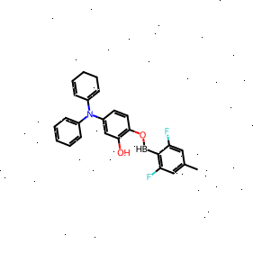 Cc1cc(F)c(BOc2ccc(N(C3=CCCC=C3)c3ccccc3)cc2O)c(F)c1